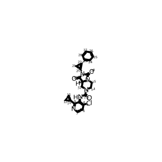 O=C(Nc1c(Cl)ccnc1C1CC1)N1CCN2C(=O)N([C@H]3C[C@@H]3c3ccccc3)C(=O)[C@@H]2C1